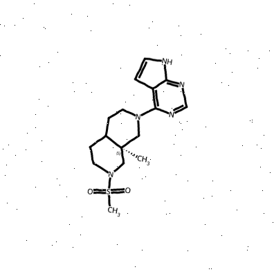 C[C@@]12CN(c3ncnc4[nH]ccc34)CCC1CCN(S(C)(=O)=O)C2